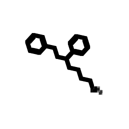 NCCCCC(CCc1ccccc1)c1ccccc1